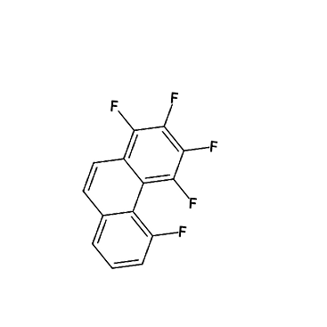 Fc1c(F)c(F)c2c(ccc3cccc(F)c32)c1F